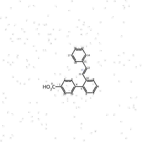 O=C(O)c1ccc(-c2ccccc2/C=C/c2ccccc2)cc1